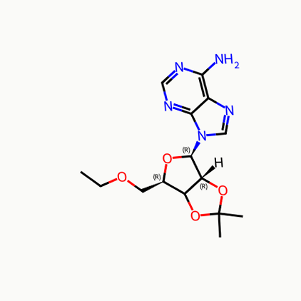 CCOC[C@H]1O[C@@H](n2cnc3c(N)ncnc32)[C@@H]2OC(C)(C)OC21